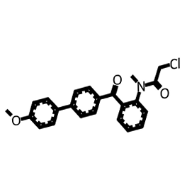 COc1ccc(-c2ccc(C(=O)c3ccccc3N(C)C(=O)CCl)cc2)cc1